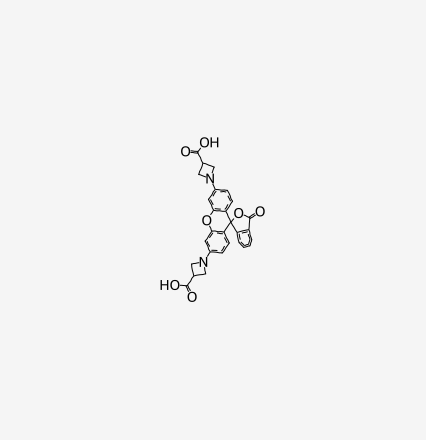 O=C1OC2(c3ccc(N4CC(C(=O)O)C4)cc3Oc3cc(N4CC(C(=O)O)C4)ccc32)c2ccccc21